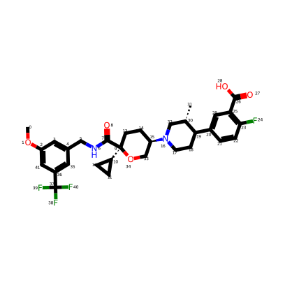 COc1cc(CNC(=O)[C@@]2(C3CC3)CC[C@@H](N3CCC(c4ccc(F)c(C(=O)O)c4)[C@@H](C)C3)CO2)cc(C(F)(F)F)c1